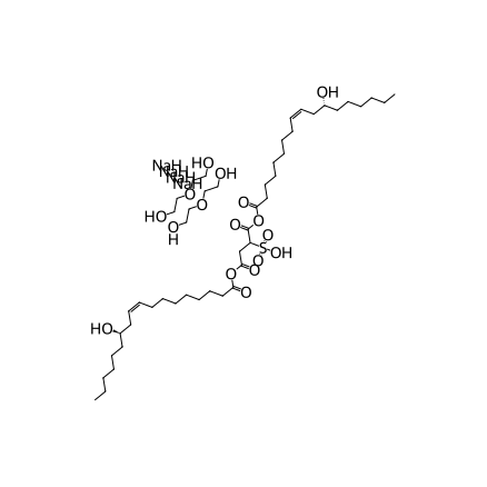 CCCCCC[C@@H](O)C/C=C\CCCCCCCC(=O)OC(=O)CC(C(=O)OC(=O)CCCCCCC/C=C\C[C@H](O)CCCCCC)S(=O)(=O)O.OCCOCCO.OCCOCCO.[NaH].[NaH].[NaH].[NaH]